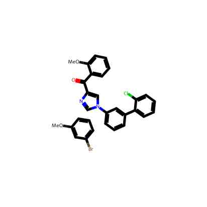 COc1cccc(Br)c1.COc1ccccc1C(=O)c1cn(-c2cccc(-c3ccccc3Cl)c2)cn1